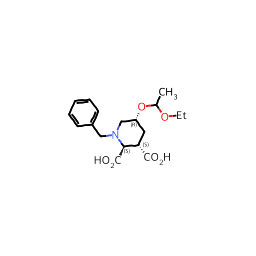 CCOC(C)O[C@@H]1C[C@H](C(=O)O)[C@@H](C(=O)O)N(Cc2ccccc2)C1